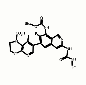 Cc1c(-c2cc3cc(NC(=O)NC(C)C)ncc3c(NC(=O)OC(C)(C)C)c2F)cnc2c1N(C(=O)O)CCO2